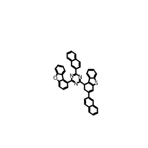 C1=C(c2ccc3ccccc3c2)CC(c2nc(-c3ccc4ccccc4c3)nc(-c3cccc4oc5ccccc5c34)n2)c2c1sc1ccccc21